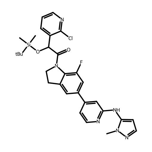 Cn1nccc1Nc1cc(-c2cc(F)c3c(c2)CCN3C(=O)C(O[Si](C)(C)C(C)(C)C)c2cccnc2Cl)ccn1